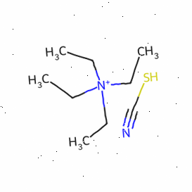 CC[N+](CC)(CC)CC.N#CS